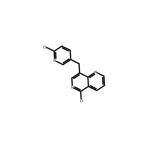 Clc1ccc(Cc2cnc(Cl)c3cccnc23)cn1